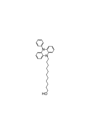 OCCCCCCCCCCCN1c2ccccc2N(c2ccccc2)c2ccccc21